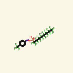 O=S(=O)(O[I+]c1ccc(C(F)(F)F)cc1)C(F)(F)C(F)(F)C(F)(F)C(F)(F)C(F)(F)C(F)(F)C(F)(F)C(F)(F)F